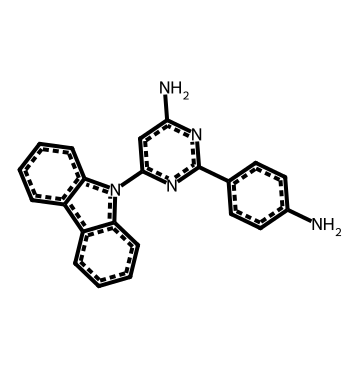 Nc1ccc(-c2nc(N)cc(-n3c4ccccc4c4ccccc43)n2)cc1